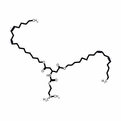 CCCCC/C=C\C/C=C\CCCCCCCCOC(=O)CC(CC(=O)OCCCCCCCC/C=C\C/C=C\CCCCC)NC(=O)SCCN(C)C